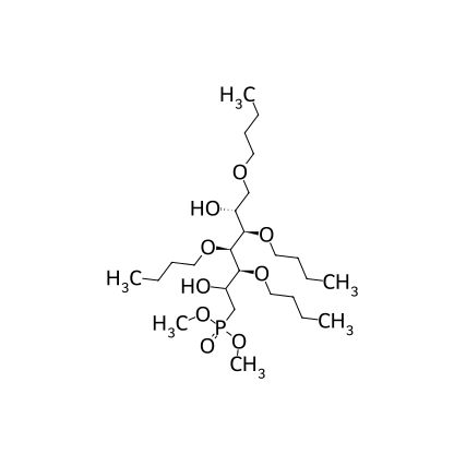 CCCCOC[C@@H](O)[C@@H](OCCCC)[C@H](OCCCC)[C@@H](OCCCC)C(O)CP(=O)(OC)OC